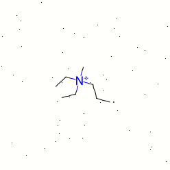 [CH2]CC[N+](C)(CC)CC